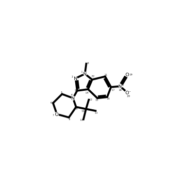 Cn1nc(N2CCOCC2C(C)(C)C)c2ccc([N+](=O)[O-])cc21